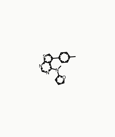 Cc1ccc(-c2csc3ncnc(N(C)c4ccco4)c23)cc1